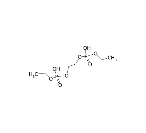 CCOP(=O)(O)OCCOP(=O)(O)OCC